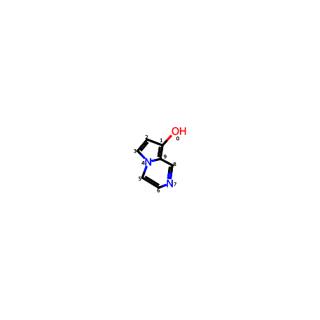 Oc1ccn2ccncc12